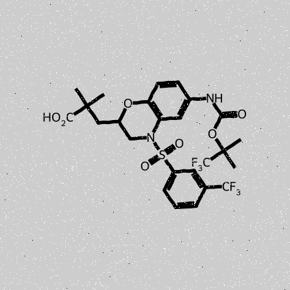 CC(C)(CC1CN(S(=O)(=O)c2cccc(C(F)(F)F)c2)c2cc(NC(=O)OC(C)(C)C(F)(F)F)ccc2O1)C(=O)O